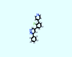 Fc1c(-c2ccncc2)cccc1-c1cnnc(-c2ccccc2)c1